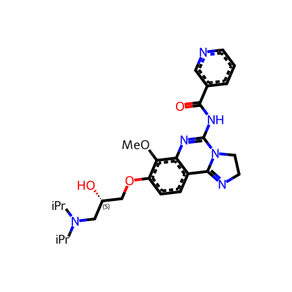 COc1c(OC[C@@H](O)CN(C(C)C)C(C)C)ccc2c1N=C(NC(=O)c1cccnc1)N1CCN=C21